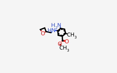 COC(=O)c1cc(NCC2CCO2)c(N)cc1C